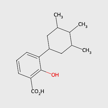 CC1CC(c2cccc(C(=O)O)c2O)CC(C)C1C